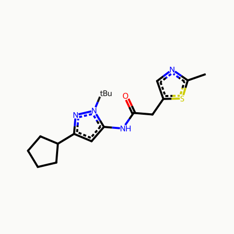 Cc1ncc(CC(=O)Nc2cc(C3CCCC3)nn2C(C)(C)C)s1